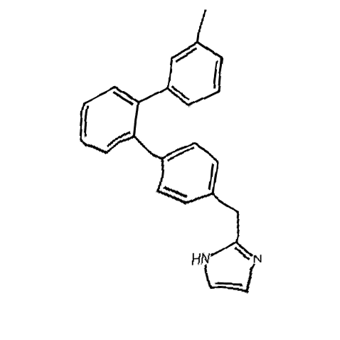 Cc1cccc(-c2ccccc2-c2ccc(Cc3ncc[nH]3)cc2)c1